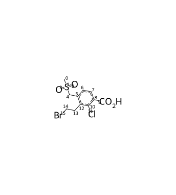 CS(=O)(=O)Cc1ccc(C(=O)O)c(Cl)c1CCBr